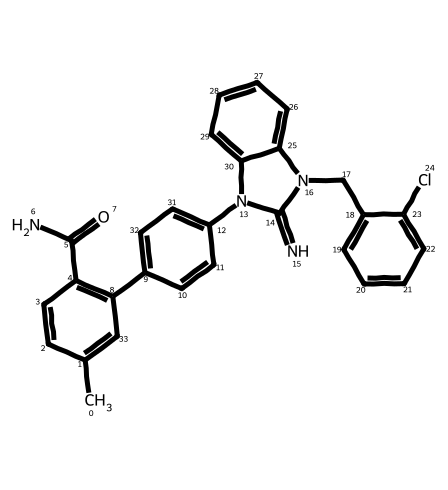 Cc1ccc(C(N)=O)c(-c2ccc(-n3c(=N)n(Cc4ccccc4Cl)c4ccccc43)cc2)c1